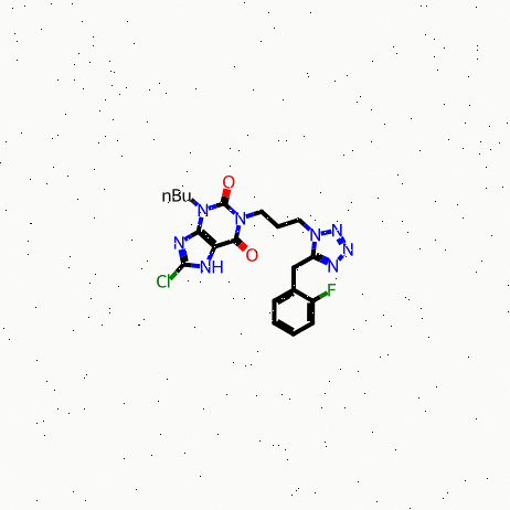 CCCCn1c(=O)n(CCCn2nnnc2Cc2ccccc2F)c(=O)c2[nH]c(Cl)nc21